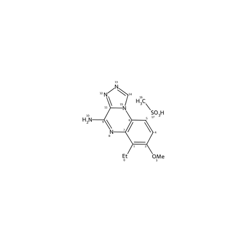 CCc1c(OC)ccc2c1nc(N)c1nncn12.CS(=O)(=O)O